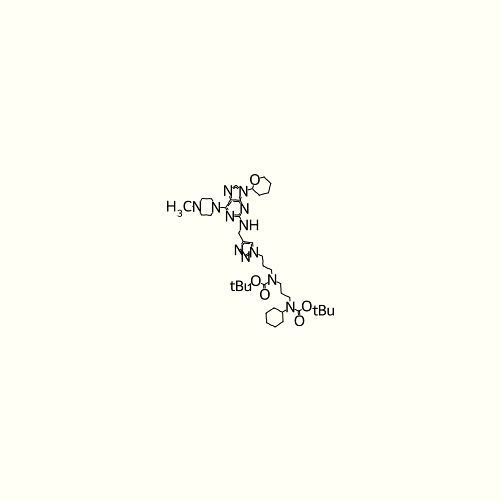 CN1CCN(c2nc(NCc3cn(CCCN(CCCN(C(=O)OC(C)(C)C)C4CCCCC4)C(=O)OC(C)(C)C)nn3)nc3c2ncn3C2CCCCO2)CC1